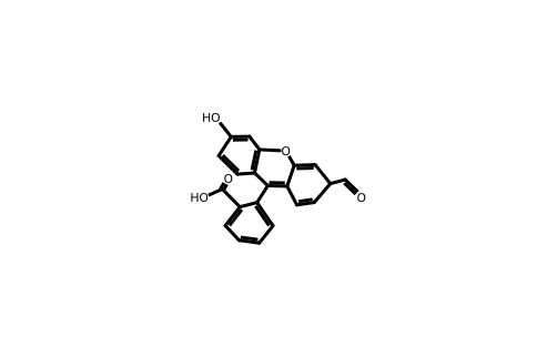 O=CC1C=CC2=C(c3ccccc3C(=O)O)c3ccc(O)cc3OC2=C1